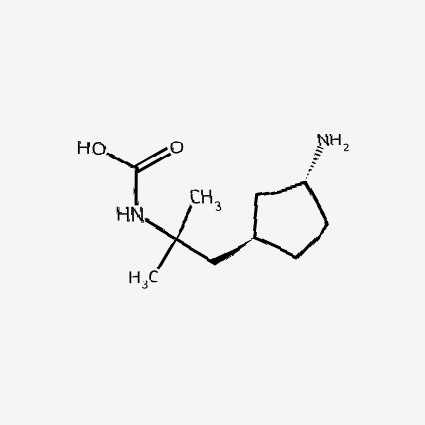 CC(C)(C[C@@H]1CC[C@@H](N)C1)NC(=O)O